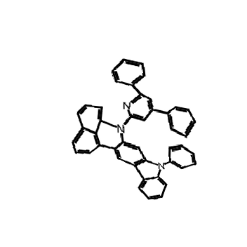 c1ccc(-c2cc(-c3ccccc3)nc(N3c4cc5c(cc4-c4cccc6cccc3c46)c3ccccc3n5-c3ccccc3)c2)cc1